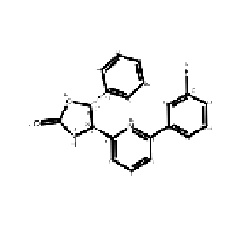 O=C1N[C@H](c2cccc(-c3cccc(F)c3)n2)[C@@H](c2ccccc2)O1